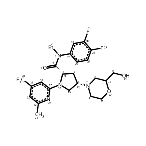 CCN(C(=O)[C@@H]1C[C@H](N2CCOC(CO)C2)CN1c1cc(C(F)(F)F)cc(C)n1)c1ccc(F)c(F)c1